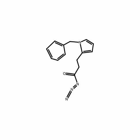 [N-]=[N+]=NC(=O)CCc1cccn1Cc1ccccc1